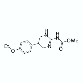 CCOc1ccc(C2CN=C(NC(=O)OC)NC2)cc1